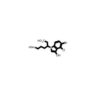 CCCCCCCCCCCCCC(CC(=O)O)n1cc(O)c2c(Cl)c(Br)ccc21